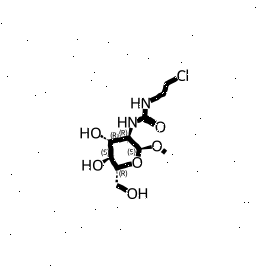 CO[C@H]1O[C@H](CO)[C@@H](O)[C@H](O)[C@H]1NC(=O)NCCCl